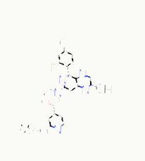 COc1cc(C2CN(c3cc4nc(C)cnc4c(-c4ccc(Cl)cc4F)n3)CCO2)ccn1